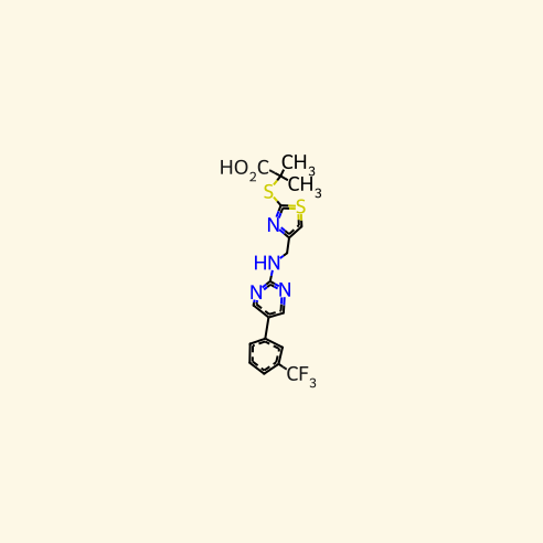 CC(C)(Sc1nc(CNc2ncc(-c3cccc(C(F)(F)F)c3)cn2)cs1)C(=O)O